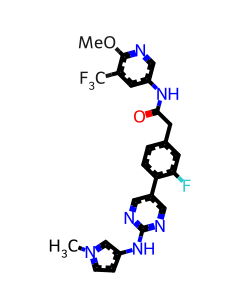 COc1ncc(NC(=O)Cc2ccc(-c3cnc(Nc4ccn(C)c4)nc3)c(F)c2)cc1C(F)(F)F